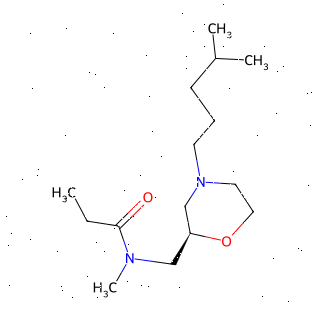 CCC(=O)N(C)C[C@H]1CN(CCCC(C)C)CCO1